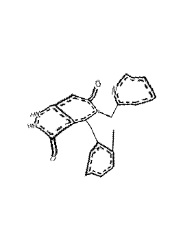 Cc1ccccc1-c1c2c(=O)[nH][nH]c2cc(=O)n1Cc1ccccn1